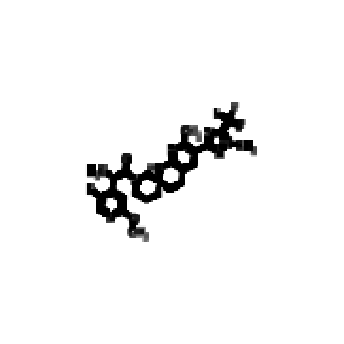 COc1cc([C@@H](C)C(=O)N2CCC[C@@]3(CCc4cc(-c5nc(C(F)(F)F)n(C)n5)c(C)nc4N3)C2)c(F)cn1